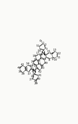 Cc1ccc(N(c2ccc3ccccc3c2)c2ccc3ccc4c(N(c5ccc(C)cc5)c5ccc6c(c5)CCC=C6)ccc5c4c3c2CC5)cc1